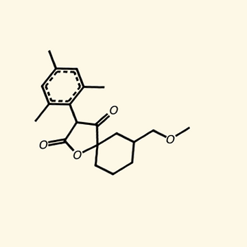 COCC1CCCC2(C1)OC(=O)C(c1c(C)cc(C)cc1C)C2=O